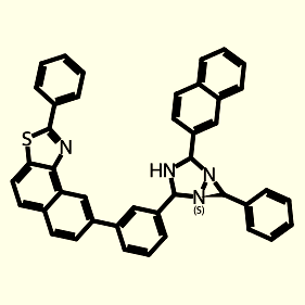 c1ccc(-c2nc3c(ccc4ccc(-c5cccc(C6NC(c7ccc8ccccc8c7)N7C(c8ccccc8)[N@@]67)c5)cc43)s2)cc1